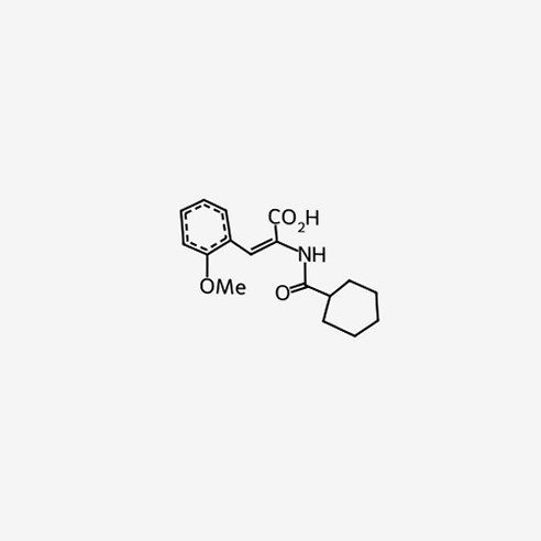 COc1ccccc1/C=C(/NC(=O)C1CCCCC1)C(=O)O